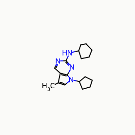 Cc1cn(C2CCCC2)c2nc(NC3CCCCC3)ncc12